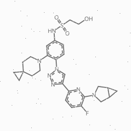 O=S(=O)(CCO)Nc1ccc(-n2cc(-c3ccc(F)c(N4CC5CC5C4)n3)nn2)c(N2CCC3(CC2)CC3)c1